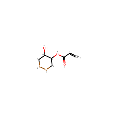 C=CC(=O)OC1CSSCC1O